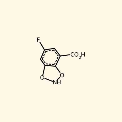 O=C(O)c1cc(F)cc2c1ONO2